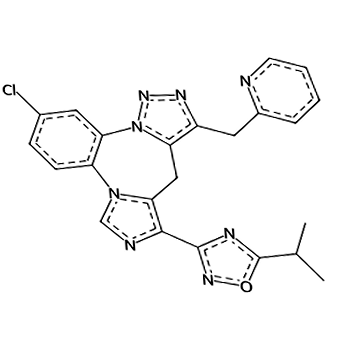 CC(C)c1nc(-c2ncn3c2Cc2c(Cc4ccccn4)nnn2-c2cc(Cl)ccc2-3)no1